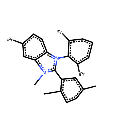 Cc1ccc(C)c(-c2n(-c3c(C(C)C)cccc3C(C)C)c3ccc(C(C)C)cc3[n+]2C)c1